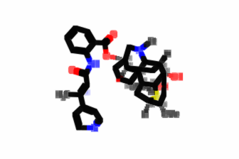 CCN1C[C@]2(OC(=O)c3ccccc3NC(=O)/C=C(\C)c3ccncc3)CC[C@H](OC)[C@]34C1[C@@H](C[C@H]23)[C@@]1(O)C[C@H](OC)[C@H]2C[C@@H]4[C@]1(O)S2